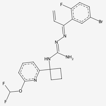 C=C/C(=N\N=C(/N)NC1(c2cccc(OC(F)F)n2)CCC1)c1cc(Br)ccc1F